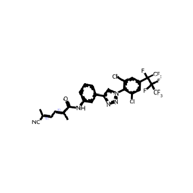 C/C(C#N)=C\C=C(/C)C(=O)Nc1cccc(-c2cn(-c3c(Cl)cc(C(F)(C(F)(F)F)C(F)(F)C(F)(F)F)cc3Cl)nn2)c1